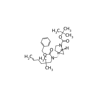 C=CCCC(C)(C)CN(C[C@]12CCN(C(=O)OC(C)(C)C)[C@@H]1C2)C(=O)OCc1ccccc1